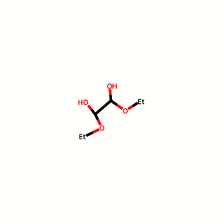 CCOC(O)C(O)OCC